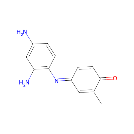 CC1=CC(=Nc2ccc(N)cc2N)C=CC1=O